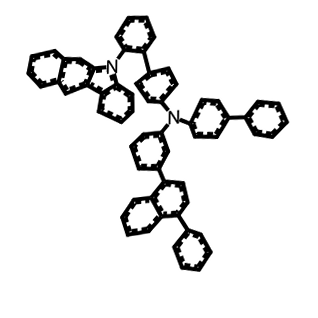 c1ccc(-c2ccc(N(c3ccc(-c4ccccc4-n4c5ccccc5c5cc6ccccc6cc54)cc3)c3cccc(-c4ccc(-c5ccccc5)c5ccccc45)c3)cc2)cc1